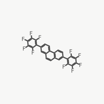 Fc1c(F)c(F)c(-c2ccc3c(ccc4cc(-c5c(F)c(F)c(F)c(F)c5F)ccc43)c2)c(F)c1F